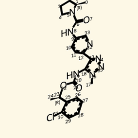 C[C@@H]1CCCN1C(=O)Nc1ccc(-c2nnn(C)c2NC(=O)O[C@H](C)c2ccccc2Cl)nc1